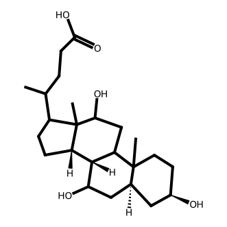 CC(CCC(=O)O)C1CC[C@H]2[C@H]3C(O)C[C@@H]4C[C@H](O)CCC4(C)C3CC(O)C12C